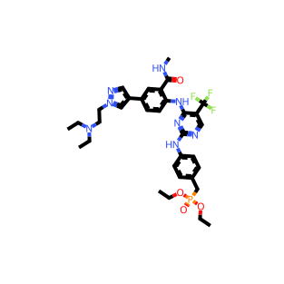 CCOP(=O)(Cc1ccc(Nc2ncc(C(F)(F)F)c(Nc3ccc(-c4cnn(CCN(CC)CC)c4)cc3C(=O)NC)n2)cc1)OCC